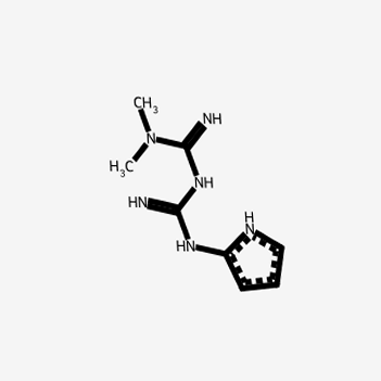 CN(C)C(=N)NC(=N)Nc1ccc[nH]1